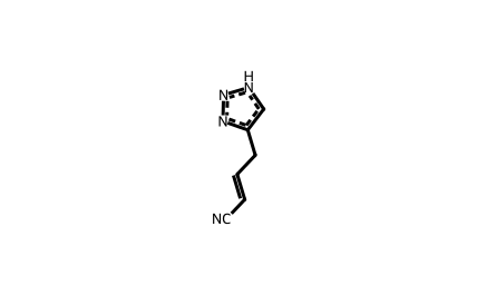 N#CC=CCc1c[nH]nn1